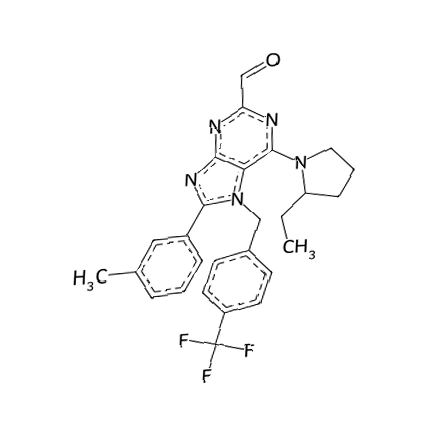 CCC1CCCN1c1nc(C=O)nc2nc(-c3cccc(C)c3)n(Cc3ccc(C(F)(F)F)cc3)c12